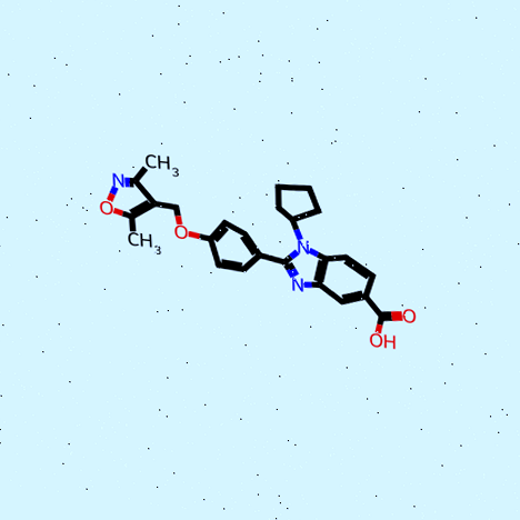 Cc1noc(C)c1COc1ccc(-c2nc3cc(C(=O)O)ccc3n2C2CCCC2)cc1